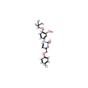 COc1cc(-n2ccc(COc3ccc(Cl)cc3)nc2=O)ccc1OCC(C)(C)C